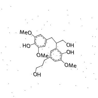 COc1cc(CC(CO)c2cc(CCCO)cc(OC)c2O)cc(OC)c1O